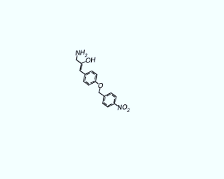 NCC(O)=Cc1ccc(OCc2ccc([N+](=O)[O-])cc2)cc1